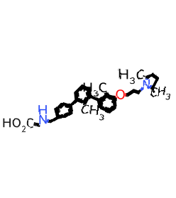 Cc1c(OCCCN2[C@H](C)CC[C@H]2C)cccc1-c1cccc(-c2ccc(CNCC(=O)O)cc2)c1C